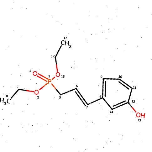 CCOP(=O)(CC=Cc1cccc(O)c1)OCC